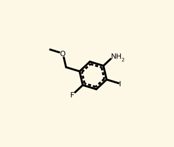 COCc1cc(N)c(I)cc1F